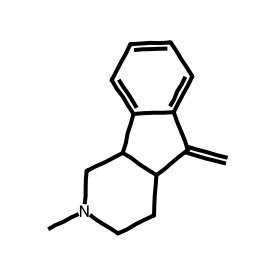 C=C1c2ccccc2C2CN(C)CCC12